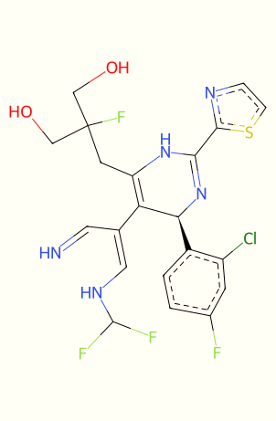 N=C/C(=C\NC(F)F)C1=C(CC(F)(CO)CO)NC(c2nccs2)=N[C@H]1c1ccc(F)cc1Cl